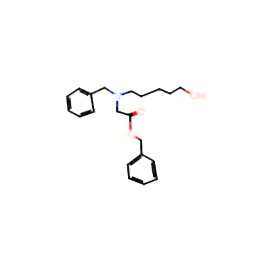 O=C(CN(CCCCCO)Cc1ccccc1)OCc1ccccc1